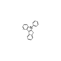 [c]1cccc2c1c1c(n2-c2ccccc2)Cc2ccccc2-1